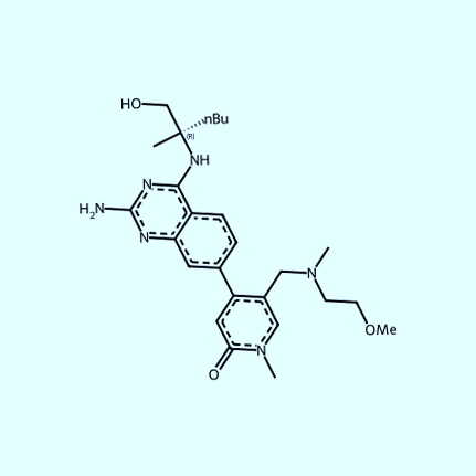 CCCC[C@](C)(CO)Nc1nc(N)nc2cc(-c3cc(=O)n(C)cc3CN(C)CCOC)ccc12